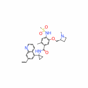 C=Cc1cc(C2(NC(=O)c3cc(OC[C@@H]4CCN4C)c(NS(C)(=O)=O)cc3C)CC2)c2cccnc2c1